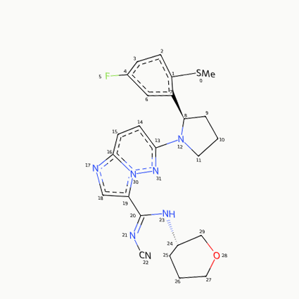 CSc1ccc(F)cc1[C@H]1CCCN1c1ccc2ncc(/C(=N/C#N)N[C@H]3CCCOC3)n2n1